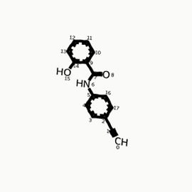 C#Cc1ccc(NC(=O)c2ccccc2O)cc1